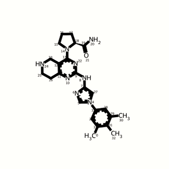 Cc1cc(-n2cnc(Nc3nc4c(c(N5CCC[C@H]5C(N)=O)n3)CNCC4)c2)cc(C)c1C